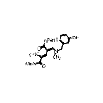 CCCCCC(=O)C(/C=C(\C=O)C(=O)NC)=C/N(C)Cc1cccc(O)c1